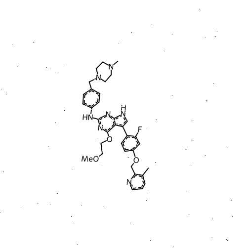 COCCOc1nc(Nc2ccc(CN3CCN(C)CC3)cc2)nc2[nH]cc(-c3ccc(OCc4ncccc4C)cc3F)c12